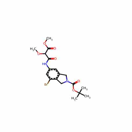 COC(=O)C(OC)C(=O)Nc1cc(Br)c2c(c1)CN(C(=O)OC(C)(C)C)C2